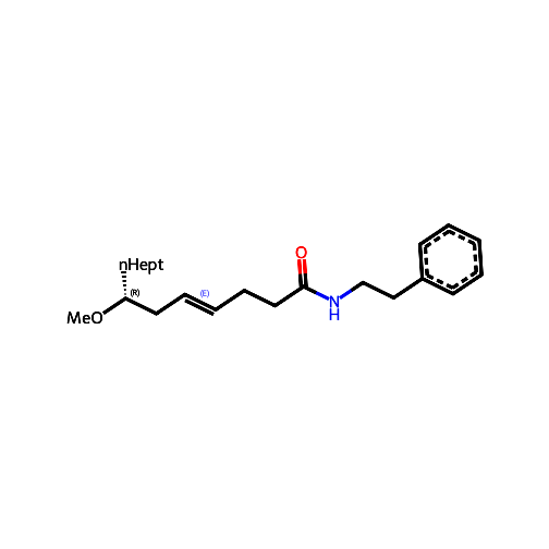 CCCCCCC[C@H](C/C=C/CCC(=O)NCCc1ccccc1)OC